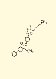 C=CCC1(C(=O)Oc2ccc(C(=O)OC(CCCCCC)C(F)F)cc2)C=CC(c2ccccc2)=CC1